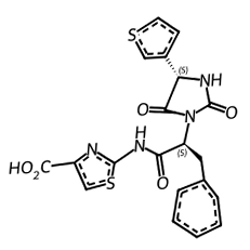 O=C(O)c1csc(NC(=O)[C@H](Cc2ccccc2)N2C(=O)N[C@@H](c3ccsc3)C2=O)n1